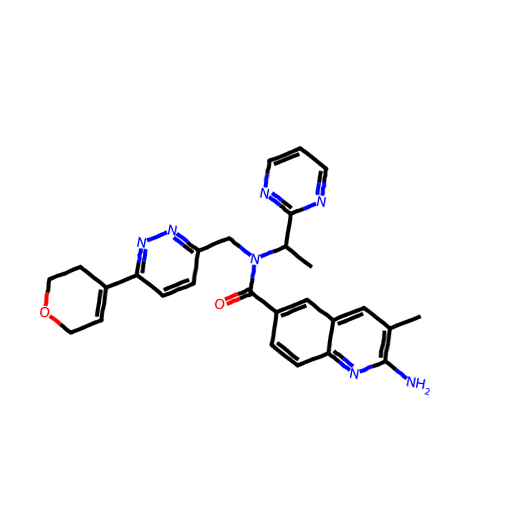 Cc1cc2cc(C(=O)N(Cc3ccc(C4=CCOCC4)nn3)C(C)c3ncccn3)ccc2nc1N